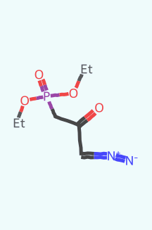 CCOP(=O)(CC(=O)C=[N+]=[N-])OCC